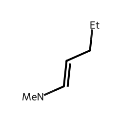 CCCC=CNC